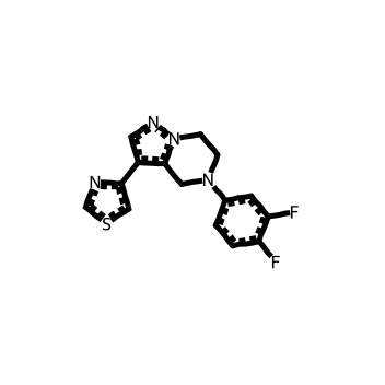 Fc1ccc(N2CCn3ncc(-c4cscn4)c3C2)cc1F